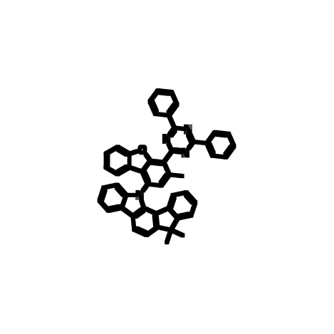 Cc1cc(-n2c3ccccc3c3ccc4c(c32)-c2ccccc2C4(C)C)c2c(oc3ccccc32)c1-c1nc(-c2ccccc2)nc(-c2ccccc2)n1